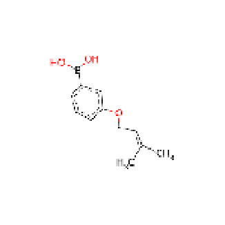 CC(C)=CCOc1cccc(B(O)O)c1